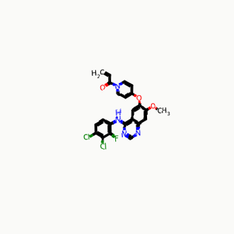 C=CC(=O)N1C=CC(Oc2cc3c(Nc4ccc(Cl)c(Cl)c4F)ncnc3cc2OC)=CC1